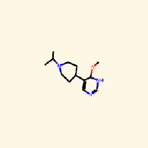 COC1N[C]=NC=C1C1CCN(C(C)C)CC1